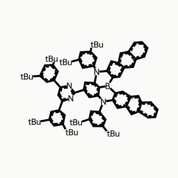 CC(C)(C)c1cc(-c2cc(-c3cc(C(C)(C)C)cc(C(C)(C)C)c3)nc(-c3cc4c5c(c3)N(c3cc(C(C)(C)C)cc(C(C)(C)C)c3)c3cc6cc7ccccc7cc6cc3B5c3cc5cc6ccccc6cc5cc3N4c3cc(C(C)(C)C)cc(C(C)(C)C)c3)n2)cc(C(C)(C)C)c1